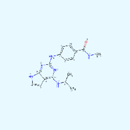 CNC(=O)c1ccc(Nc2nc(NC(C)C)c3cc[nH]c3n2)cc1